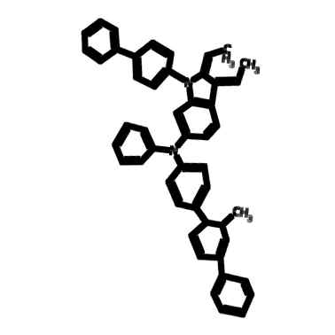 C/C=c1\c(=C/C)n(-c2ccc(-c3ccccc3)cc2)c2cc(N(c3ccccc3)c3ccc(C4C=CC(c5ccccc5)=CC4C)cc3)ccc12